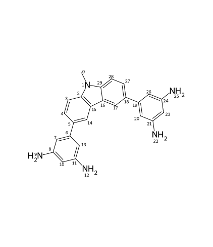 Cn1c2ccc(-c3cc(N)cc(N)c3)cc2c2cc(-c3cc(N)cc(N)c3)ccc21